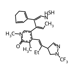 C/C=C(\C(=C/NS)C1=CCCC=C1)c1cn(C)c(=O)c(C)c1/C=C(\CC)C1C=NN(C(F)(F)F)C1